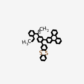 C=C=C(c1ccc(-c2ccc3c(c2)Sc2ccccc2S3)c(-c2ccc3c4ccccc4c4ccccc4c3c2)c1)c1ccccc1/C=C\C